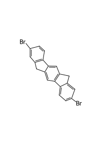 Brc1ccc2c(c1)Cc1cc3c(cc1-2)Cc1cc(Br)ccc1-3